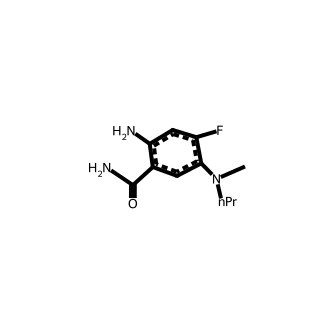 CCCN(C)c1cc(C(N)=O)c(N)cc1F